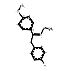 CON=C(Cc1ccc(Cl)cc1)c1ccc(OC)cc1